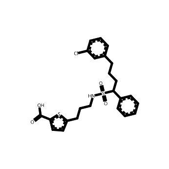 O=C(O)c1ccc(CCCNS(=O)(=O)C(CCCc2cccc(Cl)c2)c2ccccc2)s1